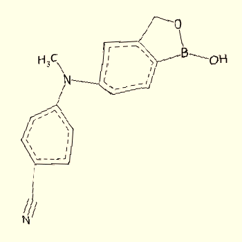 CN(c1ccc(C#N)cc1)c1ccc2c(c1)COB2O